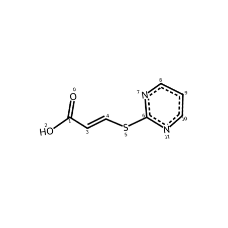 O=C(O)C=CSc1ncccn1